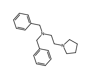 c1ccc(CN(CCN2CCCC2)Cc2ccccc2)cc1